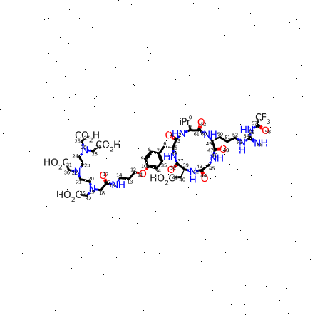 CC(C)C1NC(=O)[C@@H](Cc2ccc(OCCCNC(=O)CN(CCN(CCN(CC(=O)O)CC(=O)O)CC(=O)O)CC(=O)O)cc2)NC(=O)[C@H](CC(=O)O)NC(=O)CNC(=O)[C@H](CCCNC(=N)NC(=O)C(F)(F)F)NC1=O